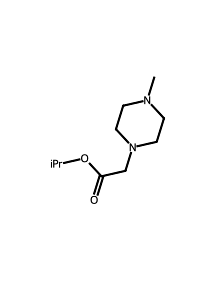 CC(C)OC(=O)CN1CCN(C)CC1